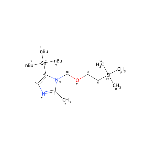 CCC[CH2][Sn]([CH2]CCC)([CH2]CCC)[c]1cnc(C)n1COCC[Si](C)(C)C